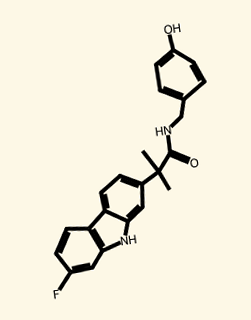 CC(C)(C(=O)NCc1ccc(O)cc1)c1ccc2c(c1)[nH]c1cc(F)ccc12